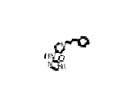 O=c1[nH]ccnc1NC1CCN(C/C=C/c2ccccc2)CC1